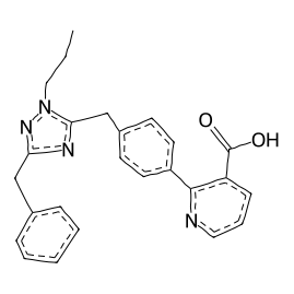 CCCn1nc(Cc2ccccc2)nc1Cc1ccc(-c2ncccc2C(=O)O)cc1